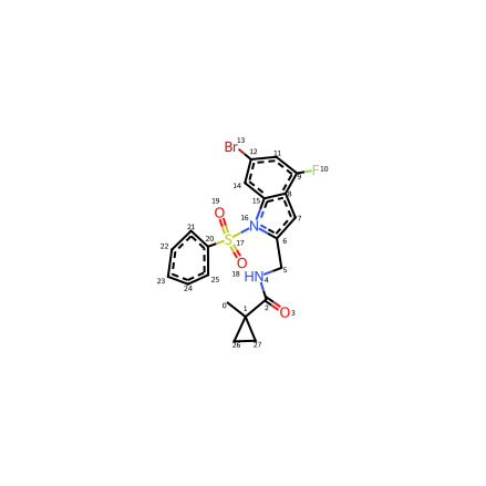 CC1(C(=O)NCc2cc3c(F)cc(Br)cc3n2S(=O)(=O)c2ccccc2)CC1